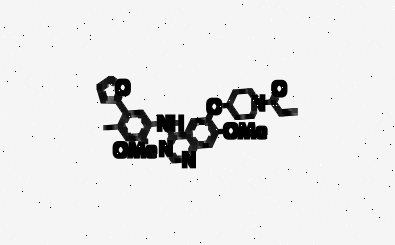 C=CC(=O)N1CCC(Oc2cc3c(Nc4cc(-c5ccco5)c(C)cc4OC)ncnc3cc2OC)CC1